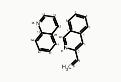 C=Cc1cc2ccccc2cn1.c1ccc2ncccc2c1